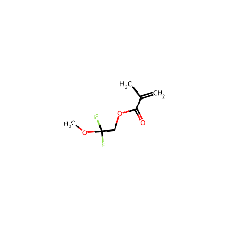 C=C(C)C(=O)OCC(F)(F)OC